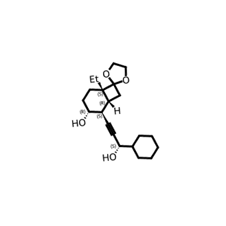 CC[C@]12CC[C@@H](O)[C@H](C#C[C@@H](O)C3CCCCC3)[C@H]1CC21OCCO1